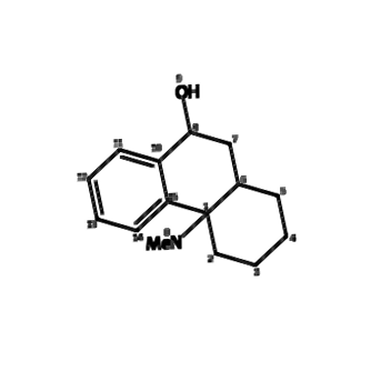 CNC12CCCCC1CC(O)c1ccccc12